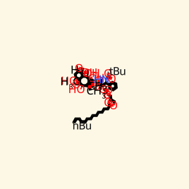 CCCC/C=C\C/C=C\CCCCCCCCC1OCC(COC(=O)O[C@@H](C(=O)O[C@H]2CC3(O)[C@@H](O)[C@@H]4[C@]5(O)CO[C@@H]5C[C@H](O)[C@@]4(C)C(=O)[C@H](O)C(=C2C)C3(C)C)[C@@H](NC(=O)OC(C)(C)C)c2ccccc2)O1